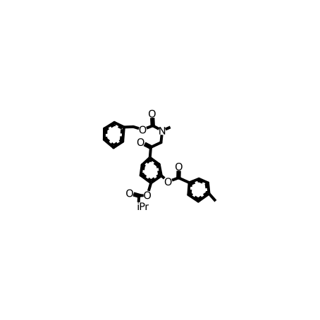 Cc1ccc(C(=O)Oc2cc(C(=O)CN(C)C(=O)OCc3ccccc3)ccc2OC(=O)C(C)C)cc1